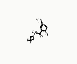 Nc1ccc(Cl)c(C(=O)NC2CC(F)(F)C2)c1